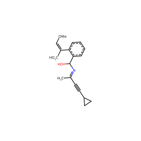 CO/C=C(/C(=O)O)c1ccccc1C(O)/N=C(\C)C#CC1CC1